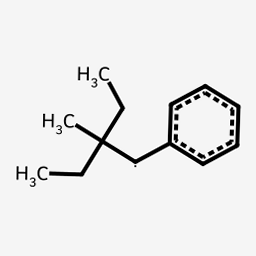 CCC(C)([CH]c1ccccc1)CC